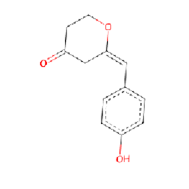 O=C1CCOC(=Cc2ccc(O)cc2)C1